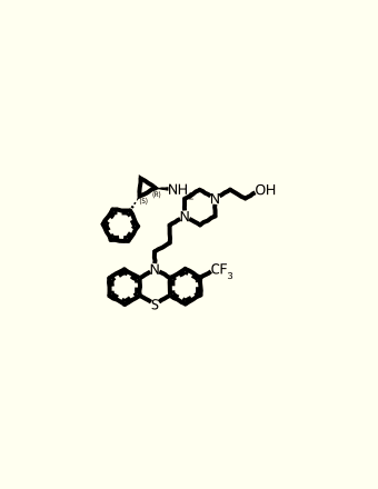 N[C@@H]1C[C@H]1c1ccccc1.OCCN1CCN(CCCN2c3ccccc3Sc3ccc(C(F)(F)F)cc32)CC1